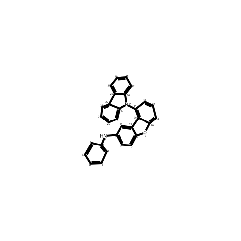 c1ccc(Nc2ccc3oc4cccc(-n5c6ccccc6c6ccccc65)c4c3c2)cc1